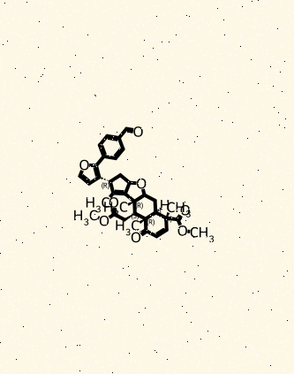 COC(=O)C[C@@H]1[C@@]2(C)C(=O)C=C[C@@](C)(C(=O)OC)[C@@H]2CC2OC3C[C@@H](c4ccoc4-c4ccc(C=O)cc4)C(C)=C3[C@]21C